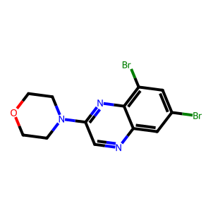 Brc1cc(Br)c2nc(N3CCOCC3)cnc2c1